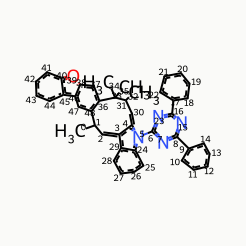 CC1/C=c2\c(n(-c3nc(-c4ccccc4)nc(-c4ccccc4)n3)c3ccccc23)=C/C(C)C(C)(C)c2cc3oc4ccccc4c3cc21